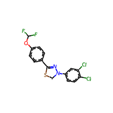 FC(F)Oc1ccc(C2=NN(c3ccc(Cl)c(Cl)c3)[CH]S2)cc1